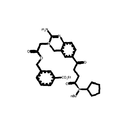 CCCCN(C(=O)CCC(=O)c1ccc2c(c1)CN(CC(=O)OCc1cccc(C(=O)OCC)c1)C(N)=N2)C1CCCC1